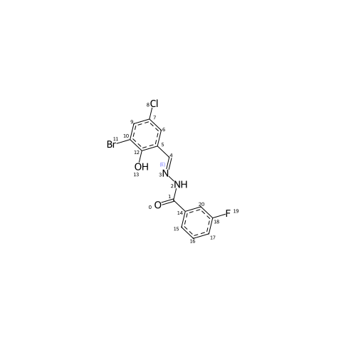 O=C(N/N=C/c1cc(Cl)cc(Br)c1O)c1cccc(F)c1